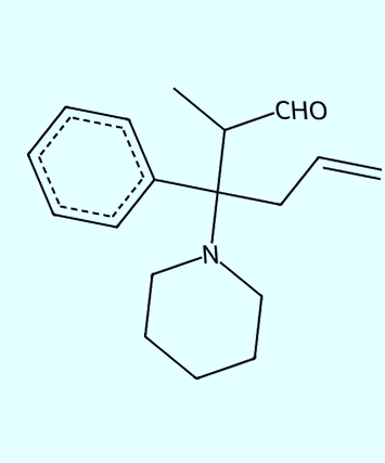 C=CCC(c1ccccc1)(C(C)C=O)N1CCCCC1